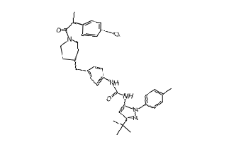 Cc1ccc(-n2nc(C(C)(C)C)cc2NC(=O)Nc2ccc(CC3CCN(C(=O)C(C)c4ccc(Cl)cc4)CC3)cc2)cc1